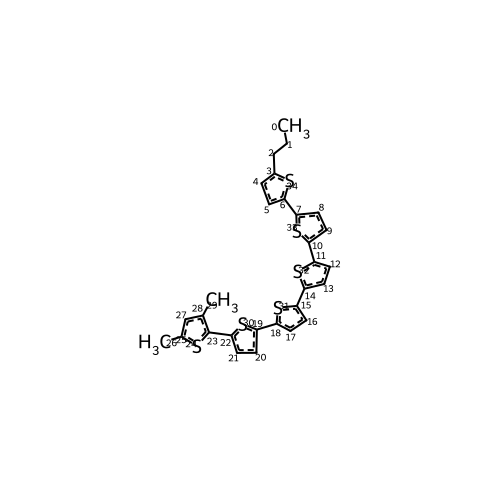 CCCc1ccc(-c2ccc(-c3ccc(-c4ccc(-c5ccc(-c6sc(C)cc6C)s5)s4)s3)s2)s1